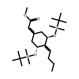 CCCC=C1[C@H](O[Si](C)(C)C(C)(C)C)CC(=CC(=O)OC)C[C@H]1O[Si](C)(C)C(C)(C)C